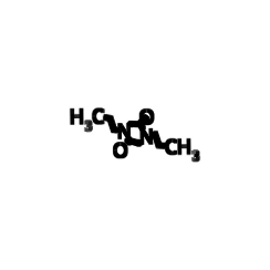 CCCN1CC(=O)N(CCC)CC1=O